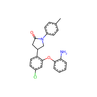 Cc1ccc(N2CC(c3ccc(Cl)cc3Oc3ccccc3N)CC2=O)cc1